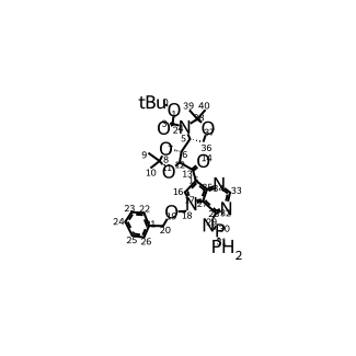 CC(C)(C)OC(=O)N1[C@@H]([C@H]2OC(C)(C)OC2C(=O)c2cn(COCc3ccccc3)c3c(/N=P/P)ncnc23)COC1(C)C